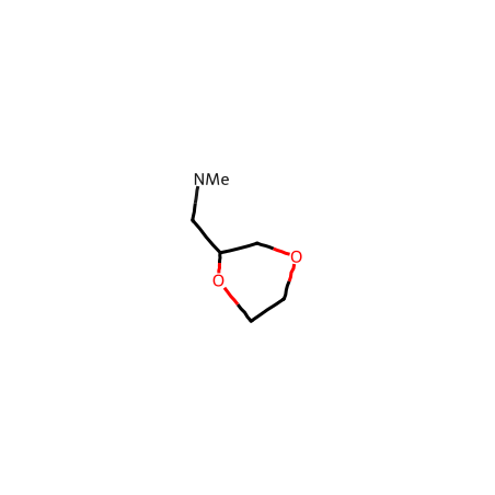 CNCC1COCCO1